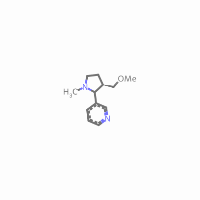 COC[C@@H]1CCN(C)C1c1cccnc1